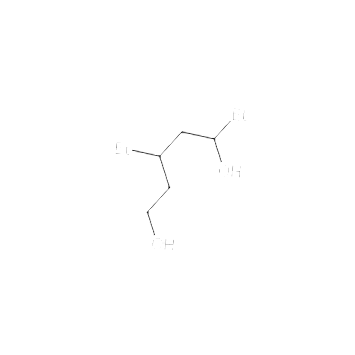 CCC(O)CC(CC)CCO